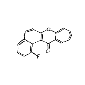 O=c1c2ccccc2oc2ccc3cccc(F)c3c12